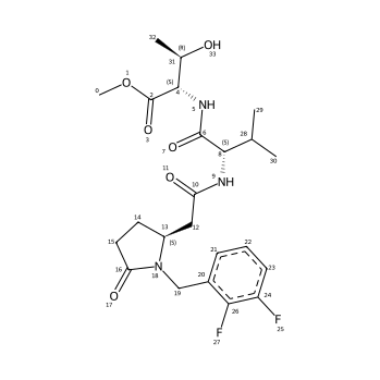 COC(=O)[C@@H](NC(=O)[C@@H](NC(=O)C[C@@H]1CCC(=O)N1Cc1cccc(F)c1F)C(C)C)[C@@H](C)O